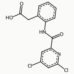 O=C(O)Cc1ccccc1NC(=O)c1cc(Cl)cc(Cl)n1